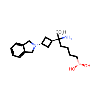 NC(CCCCB(O)O)(C(=O)O)[C@H]1C[C@H](N2Cc3ccccc3C2)C1